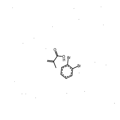 Brc1ccccc1Br.C=C(C)C(=O)O